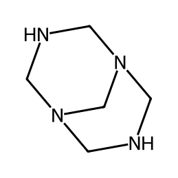 C1NCN2CNCN1C2